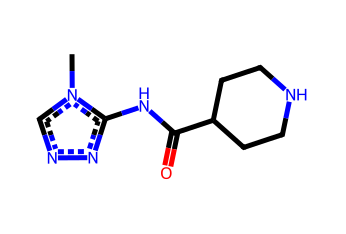 Cn1cnnc1NC(=O)C1CCNCC1